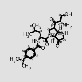 CC(C)C[C@H](NC(=O)c1ccc(N(C)C)cc1)C(=O)N1CC(C(=O)[C@@H](N)CO)[C@H]2NCC(=O)[C@H]21